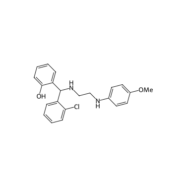 COc1ccc(NCCNC(c2ccccc2O)c2ccccc2Cl)cc1